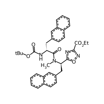 CCOC(=O)c1noc([C@@H](Cc2ccc3ccccc3c2)N(C)C(=O)[C@@H](Cc2ccc3ccccc3c2)NC(=O)OC(C)(C)C)n1